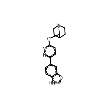 c1nc2cc(-c3ccc(OC4CN5CCC4CC5)nn3)ccc2[nH]1